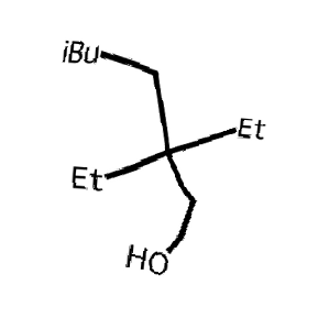 CCC(C)CC(CC)(CC)CO